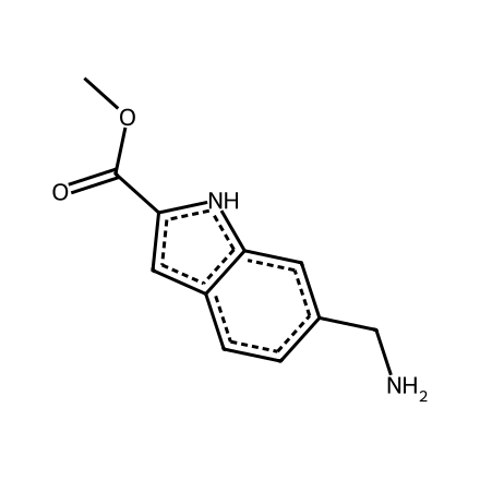 COC(=O)c1cc2ccc(CN)cc2[nH]1